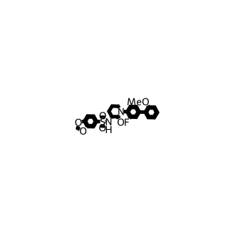 COc1ccccc1-c1ccc(N2CCCC(NS(=O)(=O)c3ccc4c(c3)OCO4)C2=O)c(F)c1